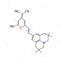 CC1(C)Cc2cc(/C=C/C3=CC(=C(C#N)C#N)C=C(C(C)(C)C)O3)cc3c2N(C1)CC(C)(C)C3